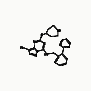 CC(C)c1cnn2c(NCc3ccccc3-c3ccccc3)nc(OC3CCNCC3)nc12